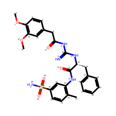 COc1ccc(CC(=O)NC(=N)N[C@H](Cc2ccccc2)C(=O)Nc2cc(S(N)(=O)=O)ccc2C)cc1OC